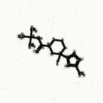 Cc1noc(C2(F)CCCN(C(=O)OC(C)(C)C)C2)n1